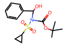 CC(C)(C)OC(=O)N(C(O)c1ccccc1)S(=O)(=O)C1CC1